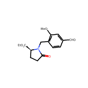 CCOC(=O)[C@@H]1CCC(=O)N1Cc1ccc(C=O)cc1OC